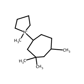 CC1CCC([N+]2(C)CCCC2)CC(C)(C)C1